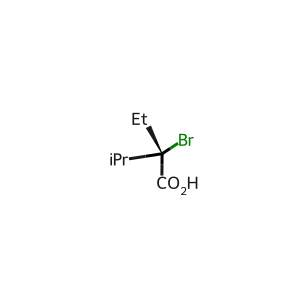 CC[C@@](Br)(C(=O)O)C(C)C